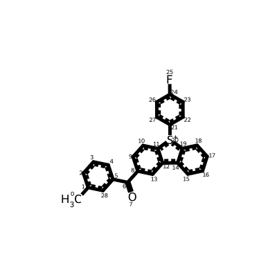 Cc1cccc(C(=O)c2ccc3c(c2)c2ccccc2[s+]3-c2ccc(F)cc2)c1